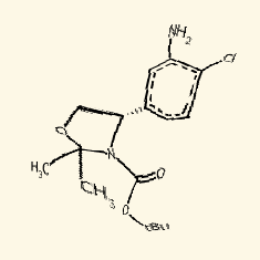 CC(C)(C)OC(=O)N1[C@@H](c2ccc(Cl)c(N)c2)COC1(C)C